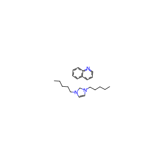 CCCCCN1C=CN(CCCCC)C1.c1ccc2ncccc2c1